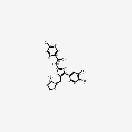 CC[C@@H]1CCCN1Cc1sc(NC(=O)c2cnc(Cl)cn2)nc1-c1ccc(O)c(C(F)(F)F)c1